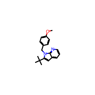 COc1ccc(Cn2c(C(C)(C)C)cc3cccnc32)cc1